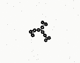 c1ccc2c(c1)c1ccccc1n2-c1ccc(-c2ccc(N(c3ccc(-c4ccc5c6cccc7c8ccccc8n(c5c4)c76)cc3)c3ccc(-n4c5ccccc5c5ccccc54)cc3)cc2)cc1